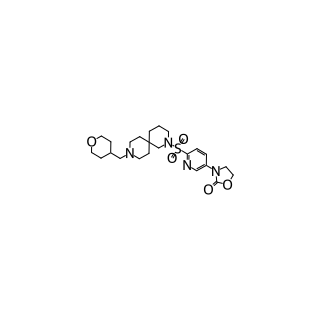 O=C1OCCN1c1ccc(S(=O)(=O)N2CCCC3(CCN(CC4CCOCC4)CC3)C2)nc1